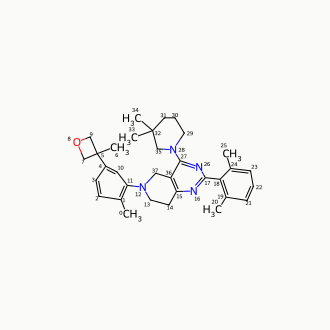 Cc1ccc(C2(C)COC2)cc1N1CCc2nc(-c3c(C)cccc3C)nc(N3CCCC(C)(C)C3)c2C1